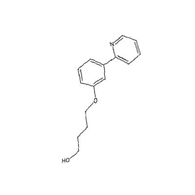 OCCCCOc1cccc(-c2ccccn2)c1